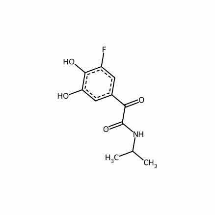 CC(C)NC(=O)C(=O)c1cc(O)c(O)c(F)c1